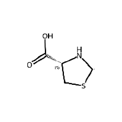 O=C(O)[C@H]1CS[CH]N1